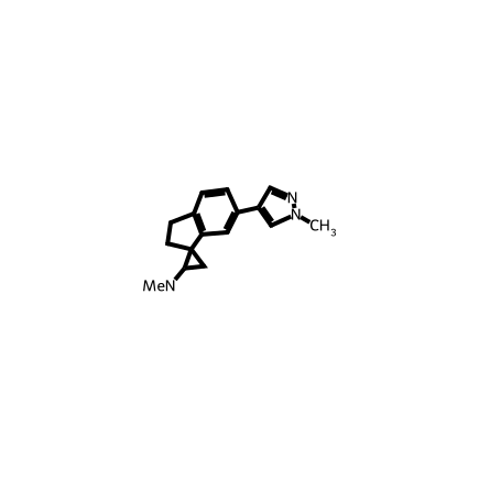 CNC1CC12CCc1ccc(-c3cnn(C)c3)cc12